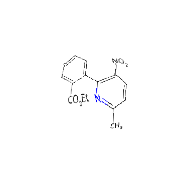 CCOC(=O)c1ccccc1-c1nc(C)ccc1[N+](=O)[O-]